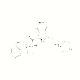 CC(C)(NC(=O)c1nn(CCN2CCOCC2)c2ccccc12)c1ccccc1